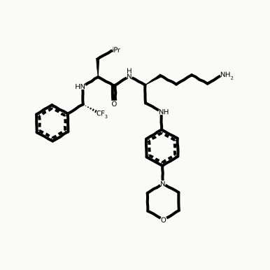 CC(C)C[C@H](N[C@@H](c1ccccc1)C(F)(F)F)C(=O)N[C@@H](CCCCN)CNc1ccc(N2CCOCC2)cc1